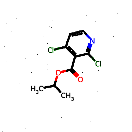 CC(C)OC(=O)c1c(Cl)ccnc1Cl